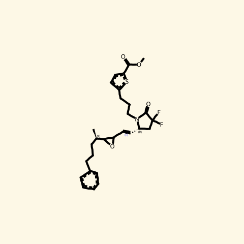 COC(=O)c1ccc(CCCN2C(=O)C(F)(F)C[C@@H]2/C=C/C2OC2[C@H](C)CCCc2ccccc2)s1